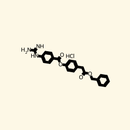 Cl.N=C(N)Nc1ccc(C(=O)Oc2ccc(CC(=O)OCc3ccccc3)cc2)cc1